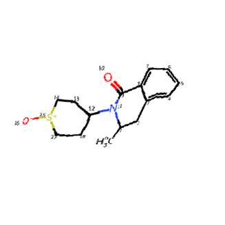 CC1Cc2ccccc2C(=O)N1C1CC[S+]([O-])CC1